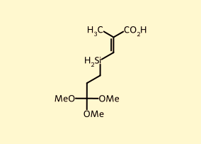 COC(CC[SiH2]C=C(C)C(=O)O)(OC)OC